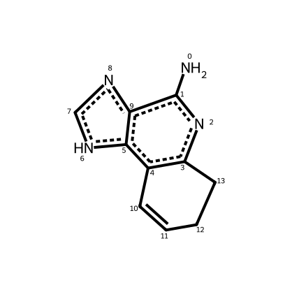 Nc1nc2c(c3[nH]cnc13)C=CCC2